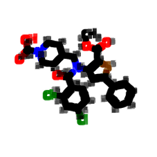 COC(=O)c1sc(-c2ccccc2)cc1N(CC1CCN(C(=O)O)CC1)C(=O)c1ccc(Cl)cc1Cl